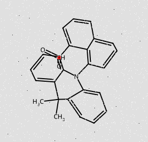 CC1(C)c2ccccc2N(c2cccc3cccc([SH](=O)=O)c23)c2ccccc21